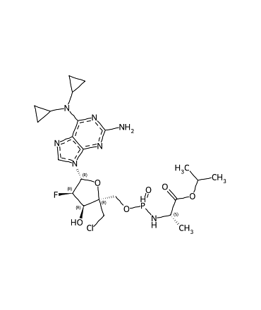 CC(C)OC(=O)[C@H](C)N[PH](=O)OC[C@@]1(CCl)O[C@@H](n2cnc3c(N(C4CC4)C4CC4)nc(N)nc32)[C@H](F)[C@@H]1O